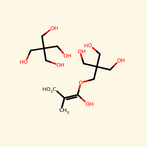 CC(C(=O)O)=C(O)OCC(CO)(CO)CO.OCC(CO)(CO)CO